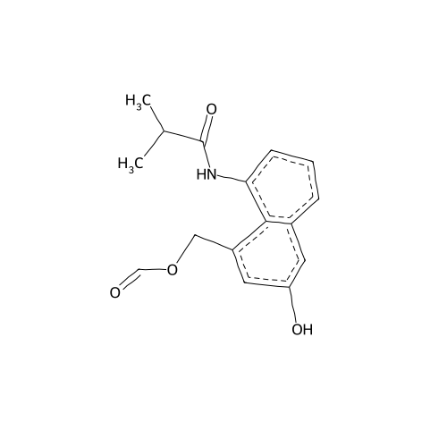 CC(C)C(=O)Nc1cccc2cc(O)cc(COC=O)c12